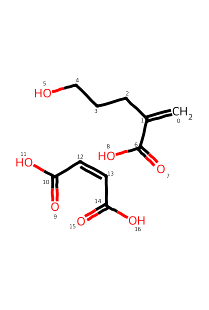 C=C(CCCO)C(=O)O.O=C(O)/C=C\C(=O)O